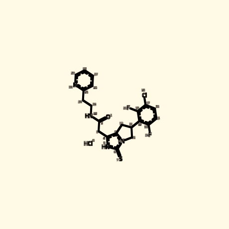 Cl.O=C(Cc1[nH]c(=S)n2c1CC(c1c(F)ccc(Cl)c1F)C2)NCCc1ccccn1